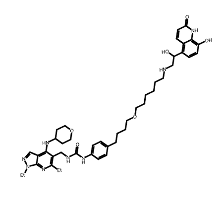 CCc1nc2c(cnn2CC)c(NC2CCOCC2)c1CNC(=O)Nc1ccc(CCCCOCCCCCCNCC(O)c2ccc(O)c3[nH]c(=O)ccc23)cc1